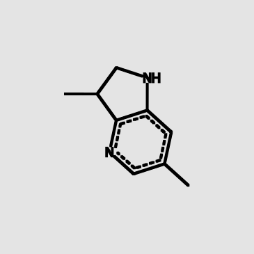 Cc1cnc2c(c1)NCC2C